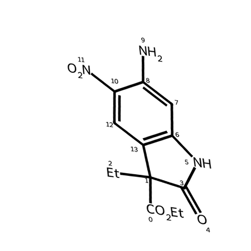 CCOC(=O)C1(CC)C(=O)Nc2cc(N)c([N+](=O)[O-])cc21